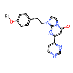 CCOc1ccc(CCn2ccn3c(=O)cc(-c4ccncn4)nc23)cc1